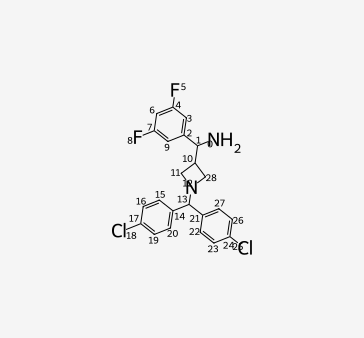 NC(c1cc(F)cc(F)c1)C1CN(C(c2ccc(Cl)cc2)c2ccc(Cl)cc2)C1